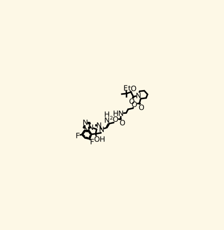 C=NN(/C=C(\N)COC(=O)NCCCOC(=O)C1CCCCN1C(=O)C(=O)C(C)(C)CC)CC(O)(Cn1cncn1)c1ccc(F)cc1F